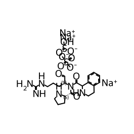 N=C(N)NCCC[C@@H](C=O)N(C(=O)C1NCCc2ccccc21)C(=O)[C@@H]1CCCN1.O=S(=O)([O-])[O-].O=S([O-])O.[Na+].[Na+].[Na+]